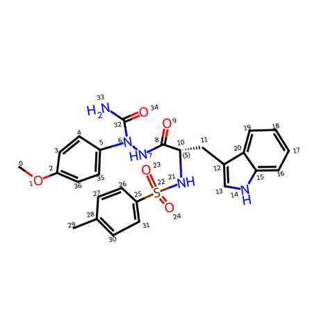 COc1ccc(N(NC(=O)[C@H](Cc2c[nH]c3ccccc23)NS(=O)(=O)c2ccc(C)cc2)C(N)=O)cc1